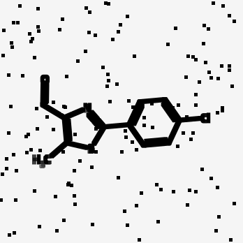 Cc1sc(-c2ccc(Cl)cc2)nc1C=O